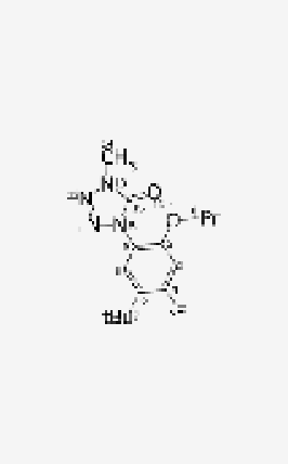 CC(C)Oc1cc(F)c(C(C)(C)C)cc1-n1nnn(C)c1=O